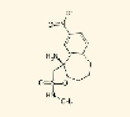 CNS(=O)(=O)C[C@@]1(N)CCCCc2ccc([N+](=O)[O-])cc21